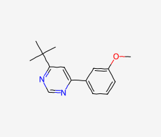 COc1cccc(-c2cc(C(C)(C)C)ncn2)c1